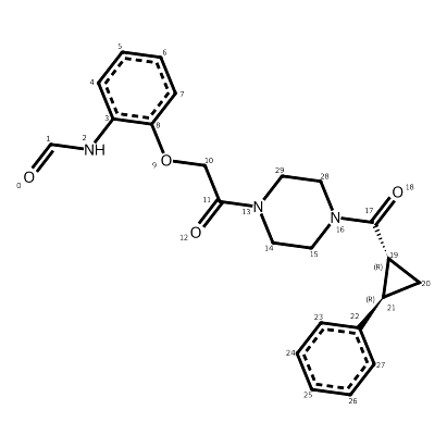 O=CNc1ccccc1OCC(=O)N1CCN(C(=O)[C@@H]2C[C@H]2c2ccccc2)CC1